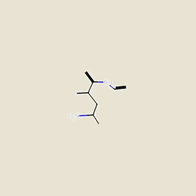 C=CNC(=C)C(C)CC(C)N